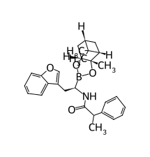 CC(C(=O)N[C@@H](Cc1coc2ccccc12)B1O[C@@H]2C[C@@H]3C[C@@H](C3(C)C)[C@]2(C)O1)c1ccccc1